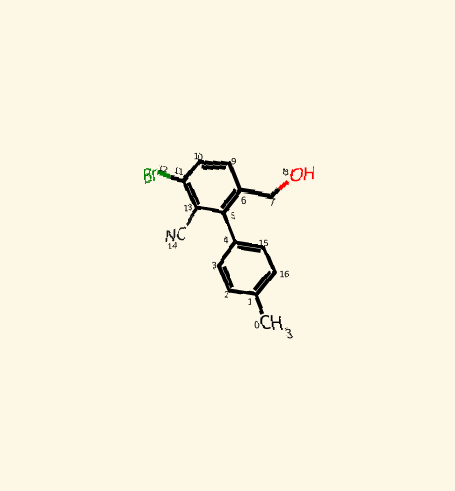 Cc1ccc(-c2c(CO)ccc(Br)c2C#N)cc1